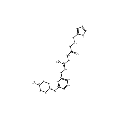 O=C(CSCc1ccco1)NCC(O)=CCc1cc(CN2CCC(O)CC2)ccn1